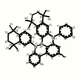 Cc1cc2c3c(c1)N(c1ccccc1)c1cc4c(cc1B3N(c1ccc3c(c1)C(C)(C)CCC3(C)C)c1ccccc1-2)C(C)(C)CCC4(C)C